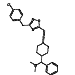 CN(C)C(c1ccccc1)C1CCC(=C=Cc2nc(Cc3ccc(Cl)cc3)no2)CC1